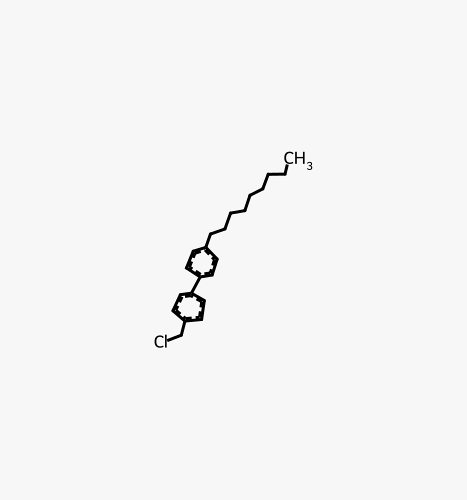 CCCCCCCCCc1ccc(-c2ccc(CCl)cc2)cc1